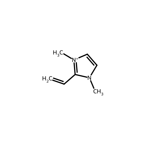 C=Cc1n(C)cc[n+]1C